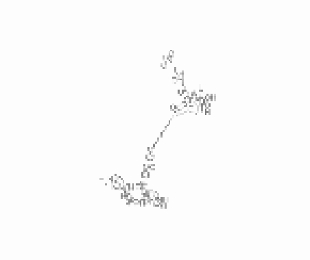 Nc1ncnc2c1ncn2[C@@H]1O[C@@H]2COP(=O)(SCc3ccc(OC(=O)c4ccc(OCCCCCCCCCCCCNC(=O)OCc5ccc(O[C@H]6O[C@@H](C(=O)O)[C@H](O)[C@@H](O)[C@@H]6O)c(NC(=O)CCNC(=O)CCCCCN6C(=O)C=CC6=O)c5)cc4)cc3)O[C@H]3[C@@H](F)[C@H](n4ccc(=O)[nH]c4=O)O[C@@H]3COP(=O)(O)O[C@H]2[C@H]1F